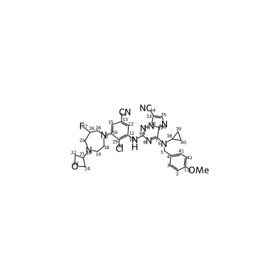 COc1ccc(CN(c2nc(Nc3cc(C#N)cc(N4CCN(C5COC5)CC(F)C4)c3Cl)nn3c(C#N)cnc23)C2CC2)cc1